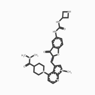 CN(C)C(=O)C1CCN(c2ccnc3c2c(/C=C2\Oc4ccc(NC(=O)NC5CNC5)cc4C2=O)cn3C)CC1